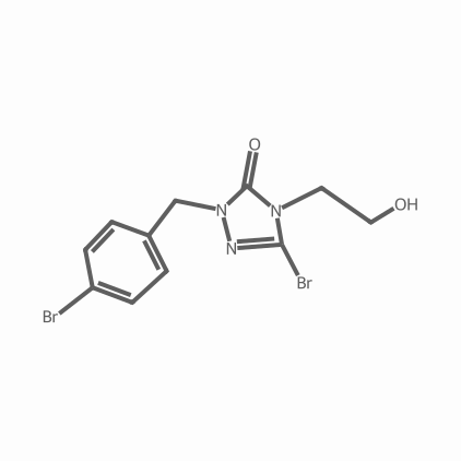 O=c1n(Cc2ccc(Br)cc2)nc(Br)n1CCO